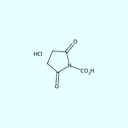 Cl.O=C(O)N1C(=O)CCC1=O